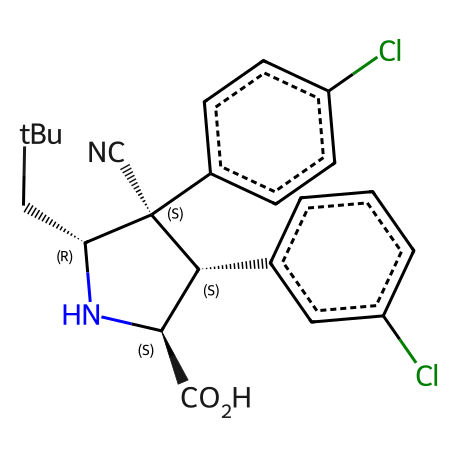 CC(C)(C)C[C@H]1N[C@H](C(=O)O)[C@@H](c2cccc(Cl)c2)[C@]1(C#N)c1ccc(Cl)cc1